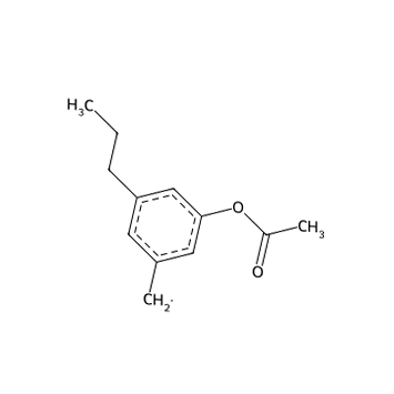 [CH2]c1cc(CCC)cc(OC(C)=O)c1